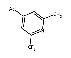 CC(=O)c1cc(C)nc(C(F)(F)F)c1